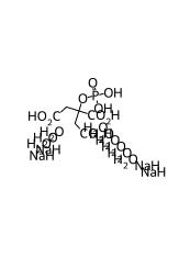 O.O.O.O.O.O.O.O.O.O=C(O)CC(CC(=O)O)(OP(=O)(O)O)C(=O)O.[NaH].[NaH].[NaH].[NaH]